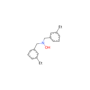 CCc1cccc(CN(O)Cc2cccc(CC)c2)c1